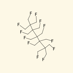 FCC(CF)(CF)C(CF)(CF)C(CF)(CF)C(CF)(CF)C(CF)(CF)CF